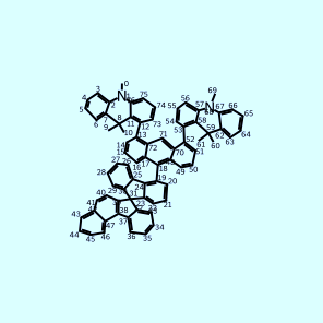 CN1c2ccccc2C(C)(C)c2c(-c3cccc4c(-c5cccc6c5-c5ccccc5C65c6ccccc6-c6c5ccc5ccccc65)c5cccc(-c6cccc7c6C(C)(C)c6ccccc6N7C)c5cc34)cccc21